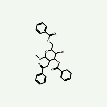 COC1OC(COC(=O)c2ccccc2)C(O)C(OC(=O)C2=CC=CCC2)C1OC(=O)c1ccccc1